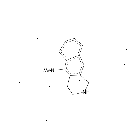 CNc1c2c(cc3ccccc13)CNCC2